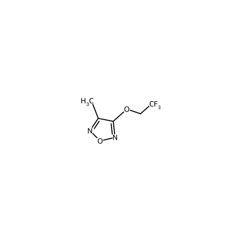 Cc1nonc1OCC(F)(F)F